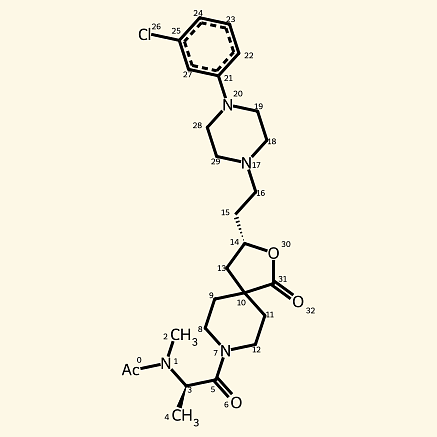 CC(=O)N(C)[C@H](C)C(=O)N1CCC2(CC1)C[C@H](CCN1CCN(c3cccc(Cl)c3)CC1)OC2=O